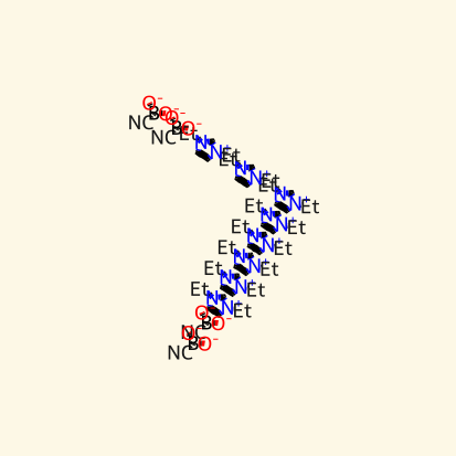 CCn1cc[n+](CC)c1.CCn1cc[n+](CC)c1.CCn1cc[n+](CC)c1.CCn1cc[n+](CC)c1.CCn1cc[n+](CC)c1.CCn1cc[n+](CC)c1.CCn1cc[n+](CC)c1.CCn1cc[n+](CC)c1.N#CB([O-])[O-].N#CB([O-])[O-].N#CB([O-])[O-].N#CB([O-])[O-]